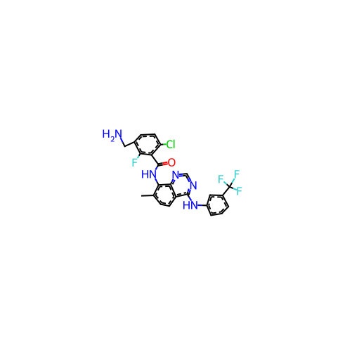 Cc1ccc2c(Nc3cccc(C(F)(F)F)c3)ncnc2c1NC(=O)c1c(Cl)ccc(CN)c1F